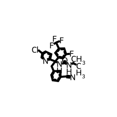 CC(C)NC(=O)NC(Cc1cccc(C#N)c1)(c1cc(F)cc(C(F)(F)F)c1)c1ccc(Cl)cn1